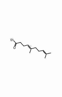 CCC(=O)CC/C=C(\C)CCC=C(C)C